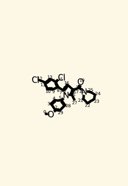 COc1ccc(-n2c(-c3ccc(Cl)cc3Cl)cc(C(=O)N3CCCCC3)c2C)cc1